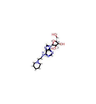 C[C@@]1(O)[C@H](O)[C@@H](CO)O[C@H]1n1cnc2c(NCCN3CCCCC3)ncnc21